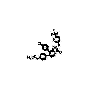 COCc1ccc(-c2cnn3c(=O)n(Cc4ccc(C(F)(F)F)nc4)nc3c2-c2ccc(Cl)cc2)cc1